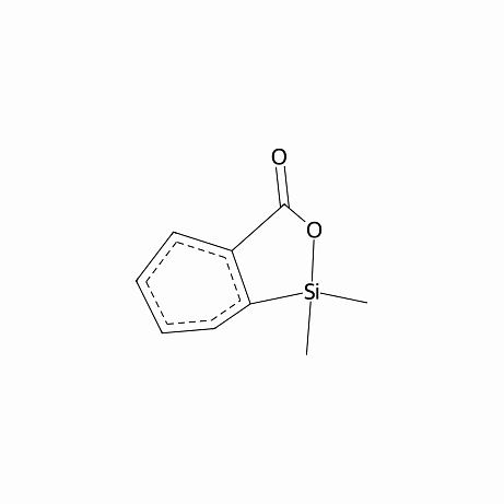 C[Si]1(C)OC(=O)c2ccccc21